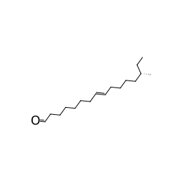 CC[C@H](C)CCCC/C=C/CCCCCCC=O